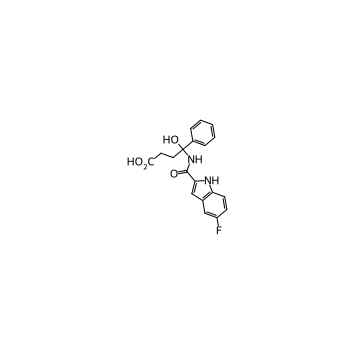 O=C(O)CCC(O)(NC(=O)c1cc2cc(F)ccc2[nH]1)c1ccccc1